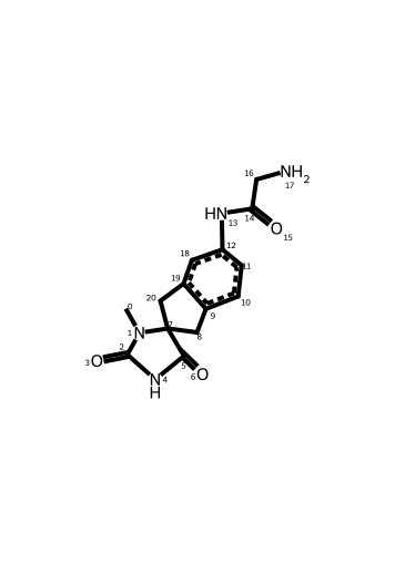 CN1C(=O)NC(=O)C12Cc1ccc(NC(=O)CN)cc1C2